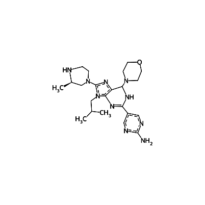 CC(C)Cn1c(N2CCN[C@H](C)C2)nc2c1N=C(c1cnc(N)nc1)NC2N1CCOCC1